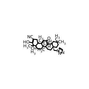 CC1(C)CC[C@]2(Cn3ccnn3)CC[C@]3(C)[C@H](C(=O)C=C4[C@@]5(C)CC(C#N)=C(O)C(C)(C)[C@@H]5CC[C@]43C)[C@@H]2C1